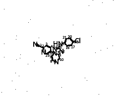 N#Cc1ccc([N+]23C=CN=CC2=NC(Nc2ccc(Cl)cc2)=N3)cn1